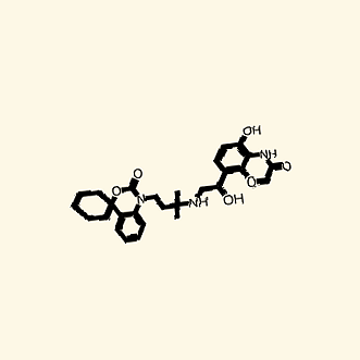 CC(C)(CCN1C(=O)OC2(CCCCC2)c2ccccc21)NCC(O)c1ccc(O)c2c1OCC(=O)N2